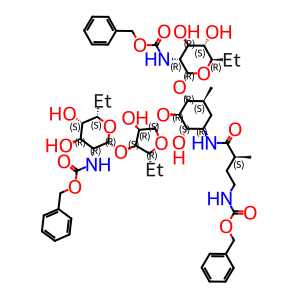 CC[C@@H]1O[C@H](O[C@H]2[C@@H](O)[C@H](O[C@@H]3[C@@H](O)[C@H](NC(=O)[C@@H](C)CCNC(=O)OCc4ccccc4)C[C@H](C)[C@H]3O[C@H]3O[C@H](CC)[C@@H](O)[C@H](O)[C@H]3NC(=O)OCc3ccccc3)O[C@@H]2CC)[C@H](NC(=O)OCc2ccccc2)[C@@H](O)[C@@H]1O